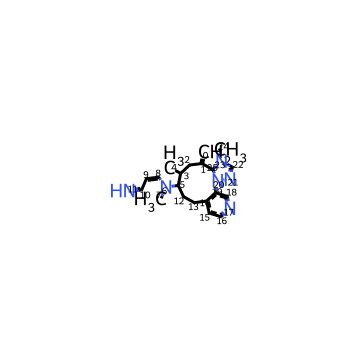 C=C1CC(C)C(N(C)/C=C\C=N)CCc2ccncc2N2N=CN(C)C12